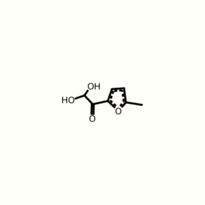 Cc1ccc(C(=O)C(O)O)o1